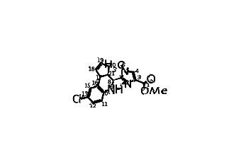 COC(=O)c1cn(C)c(C2Nc3ccc(Cl)cc3C3C=CCC32)n1